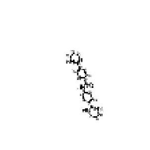 O=C(Nc1ccc(C2NCCCN2)cc1)c1ccc(C2=NCCCN2)cc1